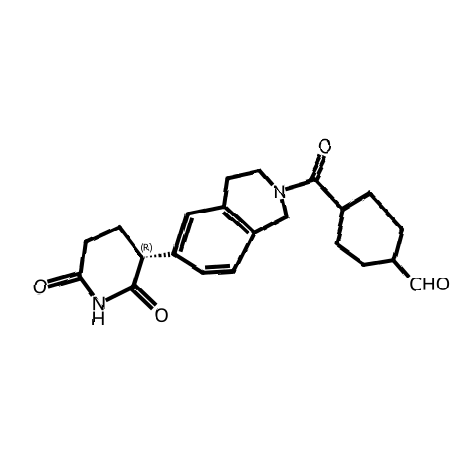 O=CC1CCC(C(=O)N2CCc3cc([C@H]4CCC(=O)NC4=O)ccc3C2)CC1